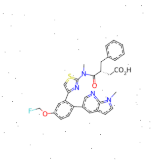 CN(C(=O)[C@@H](CC(=O)O)Cc1ccccc1)c1nc(-c2cc(OCF)ccc2-c2cnc3c(ccn3C)c2)cs1